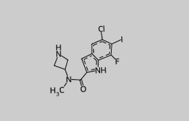 CN(C(=O)c1cc2cc(Cl)c(I)c(F)c2[nH]1)C1CNC1